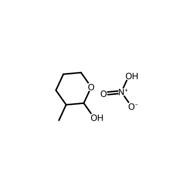 CC1CCCOC1O.O=[N+]([O-])O